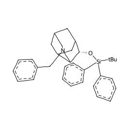 CC(C)(C)[Si](O[C@H]1C2CC3CC(C2)C1N(Cc1ccccc1)C3)(c1ccccc1)c1ccccc1